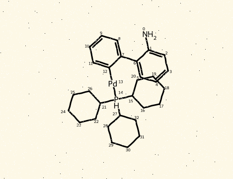 Nc1ccccc1-c1cccc[c]1[Pd][PH](C1CCCCC1)(C1CCCCC1)C1CCCCC1